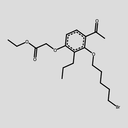 CCCc1c(OCC(=O)OCC)ccc(C(C)=O)c1OCCCCCBr